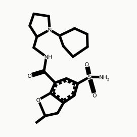 CC1Cc2cc(S(N)(=O)=O)cc(C(=O)NCC3CCCN3C3CCCCC3)c2O1